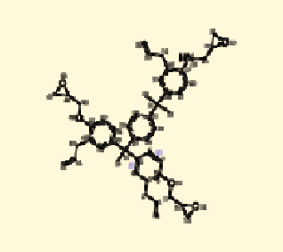 C=CCC/C=C(\C=C/C(=C)OCC1CO1)C(C)(c1ccc(C(C)(C)c2ccc(NCC3CO3)c(CC=C)c2)cc1)c1ccc(OCC2CO2)c(CC=C)c1